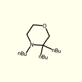 CCCCN1CCOCC1(CCCC)CCCC